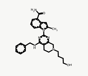 Cc1cc2c(C(N)=O)cccc2n1-c1nc2c(c(NCc3ccccc3)n1)CCN(CCCCO)C2